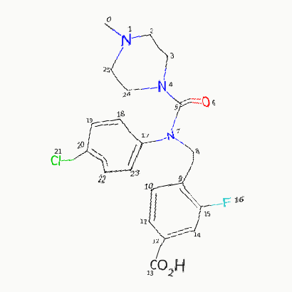 CN1CCN(C(=O)N(Cc2ccc(C(=O)O)cc2F)c2ccc(Cl)cc2)CC1